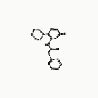 O=C(Cc1ccccc1)Nc1cc(Cl)ccc1N1CCOCC1